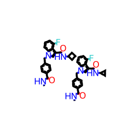 CNC(=O)c1ccc(Cn2cc(C(=O)NC3CC3)c3c(F)cccc32)cc1.CNC(=O)c1ccc(Cn2cc(C(=O)NC3CCC3)c3c(F)cccc32)cc1